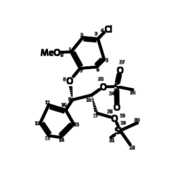 COc1cc(Cl)ccc1O[C@@H](c1ccccc1)[C@@H](CO[Si](C)(C)C)OS(C)(=O)=O